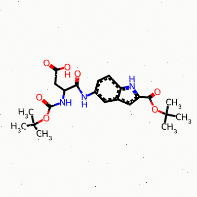 CC(C)(C)OC(=O)NC(CC(=O)O)C(=O)Nc1ccc2[nH]c(C(=O)OC(C)(C)C)cc2c1